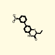 CCC1Sc2cc(-c3cccc([N+](=O)[O-])c3)ccc2NC1=O